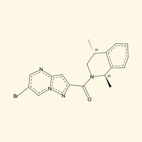 C[C@@H]1c2ccccc2[C@@H](C)CN1C(=O)c1cc2ncc(Br)cn2n1